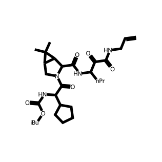 C=CCNC(=O)C(=O)C(CCC)NC(=O)C1C2C(CN1C(=O)C(NC(=O)OC(C)CC)C1CCCC1)C2(C)C